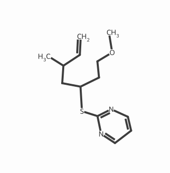 C=CC(C)CC(CCOC)Sc1ncccn1